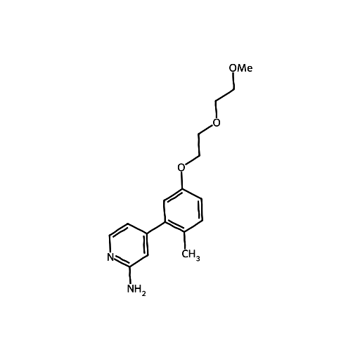 COCCOCCOc1ccc(C)c(-c2ccnc(N)c2)c1